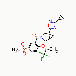 C[C@@H](Oc1ccc(S(C)(=O)=O)cc1C(=O)N1CC2CC2(c2nc(C3CC3)no2)C1)C(F)(F)F